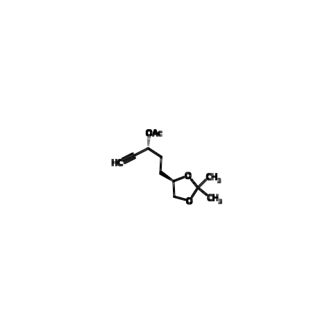 C#C[C@@H](CC[C@@H]1COC(C)(C)O1)OC(C)=O